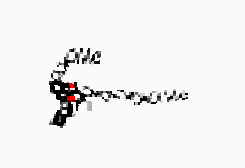 COCCOCCOCCOCCO[C@H]1CC[C@@]2(O)[C@H]3Cc4ccc(OCOCCOC)c5c4[C@@]2(CCN3CC2CCC2)[C@H]1O5